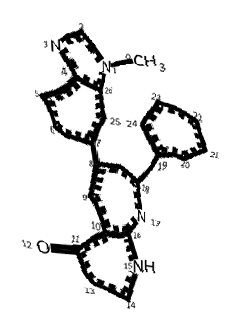 Cn1cnc2ccc(-c3cc4c(=O)cc[nH]c4nc3-c3ccccc3)cc21